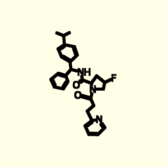 CC(C)c1ccc(C(NC(=O)C2CC(F)CN2C(=O)CCc2ccccn2)c2ccccc2)cc1